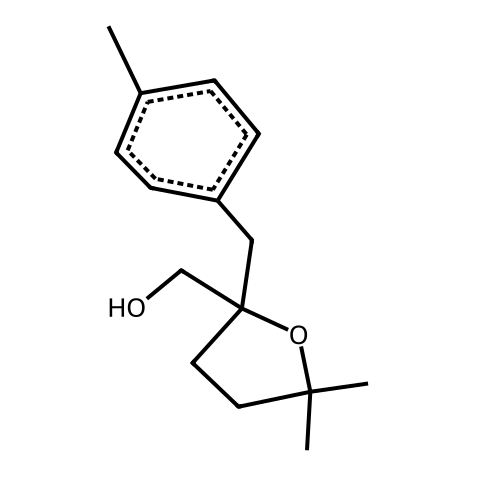 Cc1ccc(CC2(CO)CCC(C)(C)O2)cc1